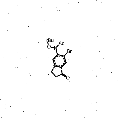 CC(=O)N(OC(C)(C)C)c1cc2c(cc1Br)C(=O)CC2